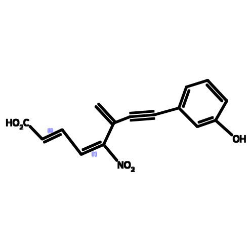 C=C(C#Cc1cccc(O)c1)/C(=C\C=C\C(=O)O)[N+](=O)[O-]